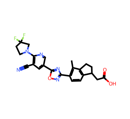 Cc1c(-c2noc(-c3cnc(N4CCC(F)(F)C4)c(C#N)c3)n2)ccc2c1CCC2CC(=O)O